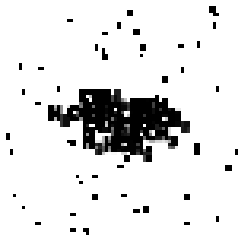 CC(C)(C)[Si](C)(C)OC(CO)[Si](C)(C)C(C)(C)C